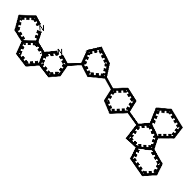 [c]1ccc(-c2ccc(-c3cc4ccccc4c4ccccc34)cc2)cc1-c1ccc2ccc3cccnc3c2n1